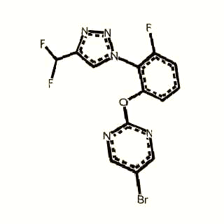 Fc1cccc(Oc2ncc(Br)cn2)c1-n1cc(C(F)F)nn1